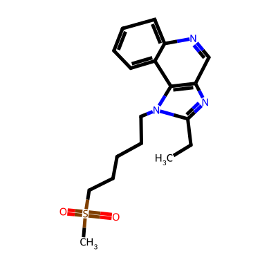 CCc1nc2cnc3ccccc3c2n1CCCCCS(C)(=O)=O